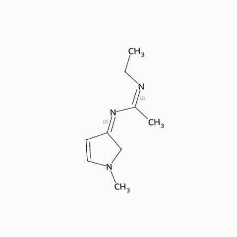 CC/N=C(C)\N=C1\C=CN(C)C1